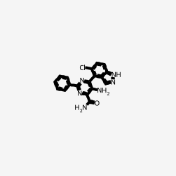 NC(=O)c1nc(-c2ccccc2)nc(-c2c(Cl)ccc3[nH]ncc23)c1N